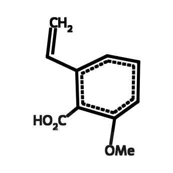 C=Cc1cccc(OC)c1C(=O)O